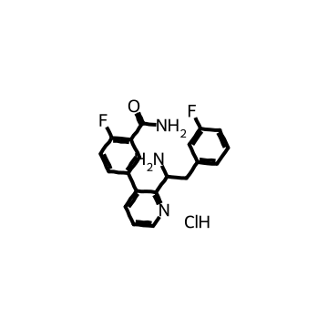 Cl.NC(=O)c1cc(-c2cccnc2C(N)Cc2cccc(F)c2)ccc1F